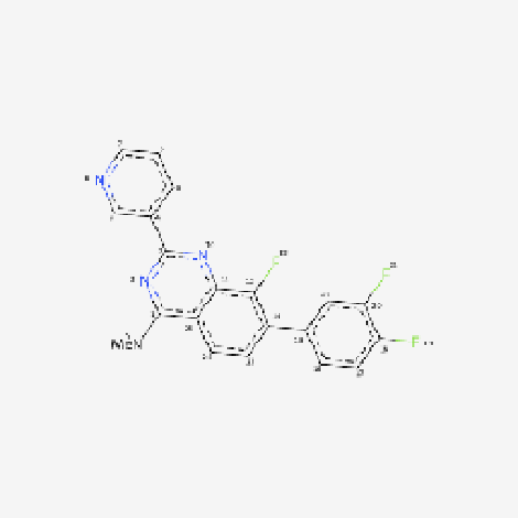 CNc1nc(-c2cccnc2)nc2c(F)c(-c3ccc(F)c(F)c3)ccc12